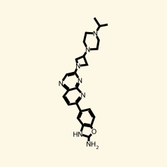 CC(C)N1CCN(C2CN(c3cnc4ccc(-c5ccc6c(c5)NC(N)O6)nc4n3)C2)CC1